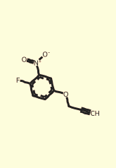 C#CCOc1ccc(F)c([N+](=O)[O-])c1